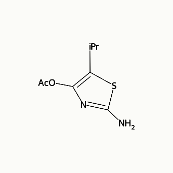 CC(=O)Oc1nc(N)sc1C(C)C